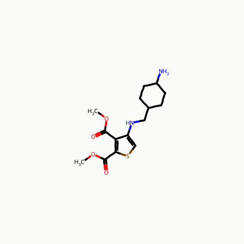 COC(=O)c1scc(NCC2CCC(N)CC2)c1C(=O)OC